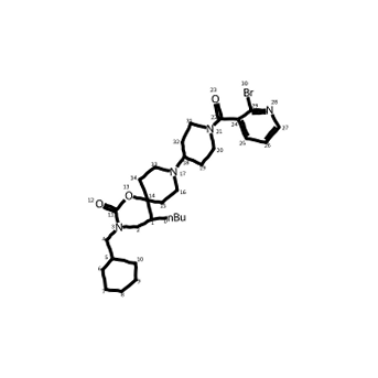 CCCCC1CN(CC2CCCCC2)C(=O)OC12CCN(C1CCN(C(=O)c3cccnc3Br)CC1)CC2